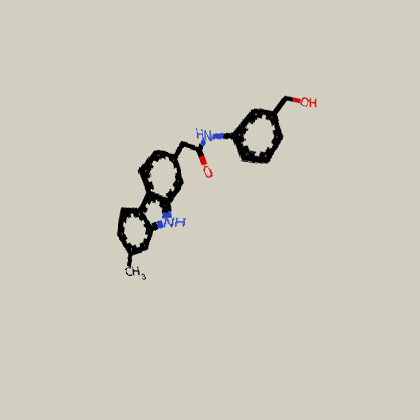 Cc1ccc2c(c1)[nH]c1cc(CC(=O)Nc3cccc(CO)c3)ccc12